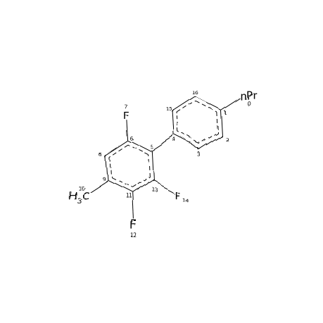 CCCc1ccc(-c2c(F)cc(C)c(F)c2F)cc1